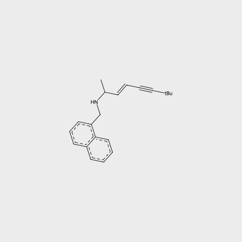 CC(C=CC#CC(C)(C)C)NCc1cccc2ccccc12